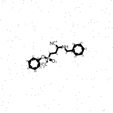 CP(=O)(CCC(C#N)NCc1ccccc1)Oc1ccccc1